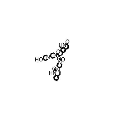 Cc1cc(C[C@@H](OC(=O)N2CCC(N3CCc4ccccc4NC3=O)CC2)C(=O)N2CCC(N3CCC(O)CC3)CC2)cc2ccc(=O)[nH]c12